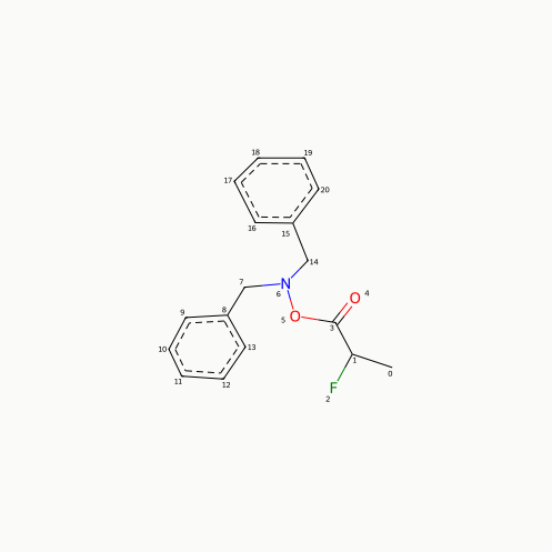 CC(F)C(=O)ON(Cc1ccccc1)Cc1ccccc1